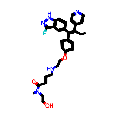 CCC(=C(c1ccc(OCCNCC=CC(=O)N(C)CCO)cc1)c1ccc2[nH]nc(F)c2c1)c1ccncc1